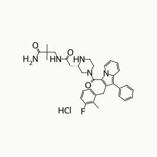 Cc1c(F)cccc1Cc1c(-c2ccccc2)c2ccccn2c1C(=O)N1CCN[C@@H](CC(=O)NCC(C)(C)C(N)=O)C1.Cl